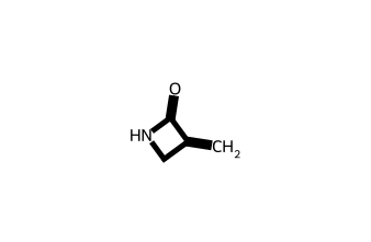 C=C1CNC1=O